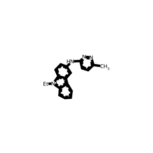 CCn1c2ccccc2c2cc(Nc3ccc(C)nn3)ccc21